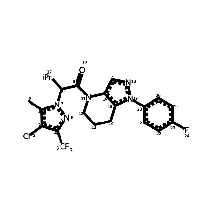 Cc1c(Cl)c(C(F)(F)F)nn1C(C(=O)N1CCCc2c1cnn2-c1ccc(F)cc1)C(C)C